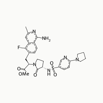 COC(=O)[C@@H](Cc1ccc2c(N)nc(C)cc2c1F)N1CC[C@H](NS(=O)(=O)c2ccc(N3CCCC3)nc2)C1=O